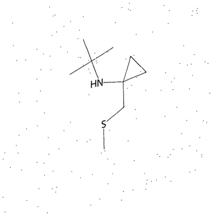 CSCC1(NC(C)(C)C)CC1